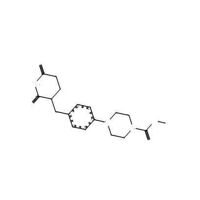 CC(C)(C)OC(=O)N1CCN(c2ccc(CC3CCC(=O)NC3=O)cc2)CC1